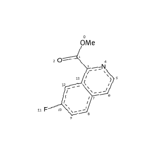 COC(=O)c1nccc2ccc(F)cc12